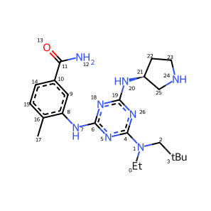 CCN(CC(C)(C)C)c1nc(Nc2cc(C(N)=O)ccc2C)nc(N[C@H]2CCNC2)n1